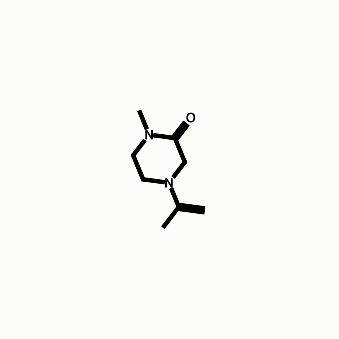 C=C(C)N1CCN(C)C(=O)C1